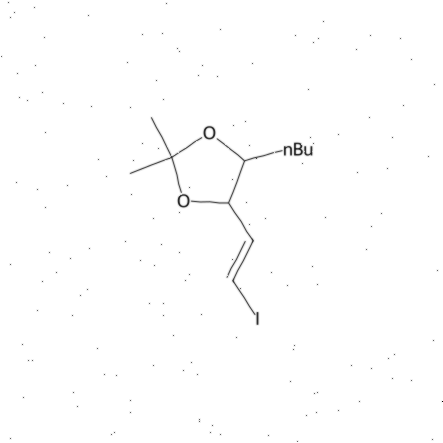 CCCCC1OC(C)(C)OC1/C=C/I